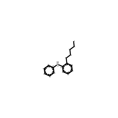 CCCCCc1ccccc1Nc1ccccc1